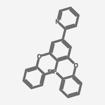 S=P12c3ccccc3Oc3cc(-c4ccccn4)cc(c31)Oc1ccccc12